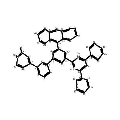 Cc1cc(-c2cccc(-c3cc(-c4nc(-c5ccccc5)cc(-c5ccccc5)n4)cc(-c4c5ccccc5cc5ccccc45)c3)c2)ccn1